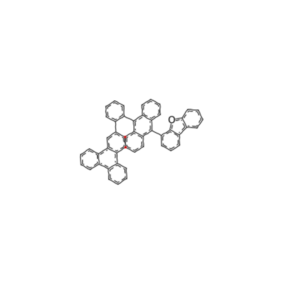 c1ccc(-c2c3ccccc3c(-c3cccc4c3oc3ccccc34)c3ccccc23)c(-c2ccc3c4ccccc4c4ccccc4c3c2)c1